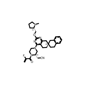 C=C(F)C(=O)N1CCN(c2nc(OC[C@@H]3CCCN3C)nc3c2CC[C@@]2(CCc4ccccc4C2)C3)C[C@@H]1CC#N